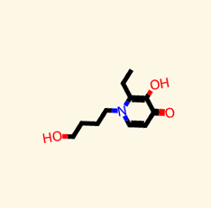 CCc1c(O)c(=O)ccn1CCCCO